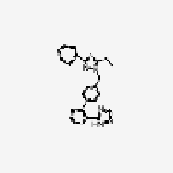 CCc1nc(-c2ccccc2)nn1Cc1ccc(-c2ccccc2-c2nnn[nH]2)cc1